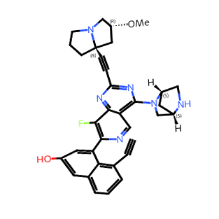 C#Cc1cccc2cc(O)cc(-c3ncc4c(N5C[C@@H]6C[C@H]5CN6)nc(C#C[C@@]56CCCN5C[C@H](OC)C6)nc4c3F)c12